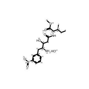 CC[C@H](C)[C@H](NC(=O)CC(O)[C@@H](N)Cc1cccc([N+](=O)[O-])c1)C(=O)OC.Cl